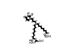 CCCCCCCCOC(=O)CCCCCCCN(CCCCCCCC(O)OC(CCCCCCCC)CCCCCCCC)CCCn1ccc(=O)[nH]c1=O